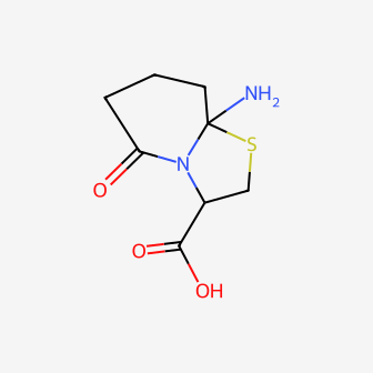 NC12CCCC(=O)N1C(C(=O)O)CS2